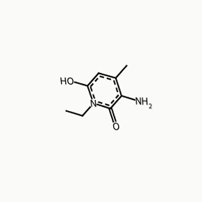 CCn1c(O)cc(C)c(N)c1=O